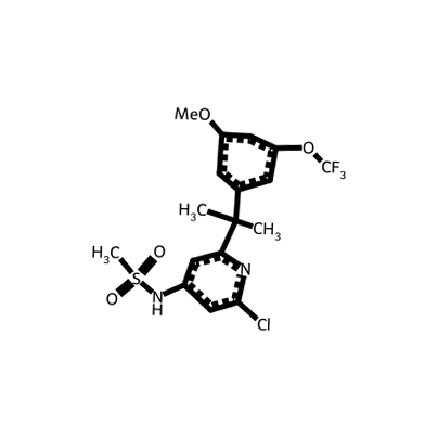 COc1cc(OC(F)(F)F)cc(C(C)(C)c2cc(NS(C)(=O)=O)cc(Cl)n2)c1